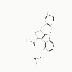 NC(=O)C1CCc2c1c1c(OCC(=O)O)cccc1n2Cc1ccc(F)cc1F